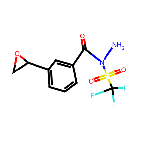 NN(C(=O)c1cccc(C2CO2)c1)S(=O)(=O)C(F)(F)F